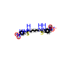 O=[N+]([O-])c1ccc(NC(=S)NCCCCCNC(=S)Nc2cccc([N+](=O)[O-])c2)cc1